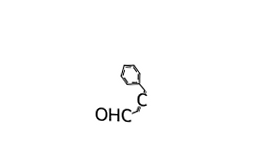 O=CC=C=Cc1ccccc1